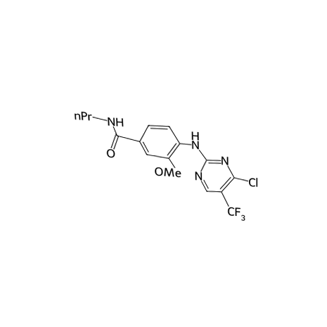 CCCNC(=O)c1ccc(Nc2ncc(C(F)(F)F)c(Cl)n2)c(OC)c1